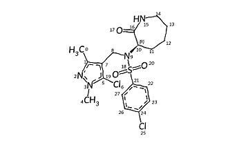 Cc1nn(C)c(Cl)c1CN([C@@H]1CCCCNC1=O)S(=O)(=O)c1ccc(Cl)cc1